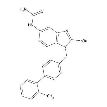 CCCCc1nc2cc(NC(N)=S)ccc2n1Cc1ccc(-c2ccccc2C)cc1